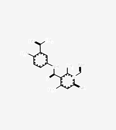 CC(=N)c1cc(NC(=O)c2c(C)cc(=N)n(C=N)c2C)ccc1N